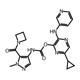 Cn1ncc(NC(=O)Oc2nc(C3CC3)cnc2Nc2cccnc2)c1C(=O)N1CCC1